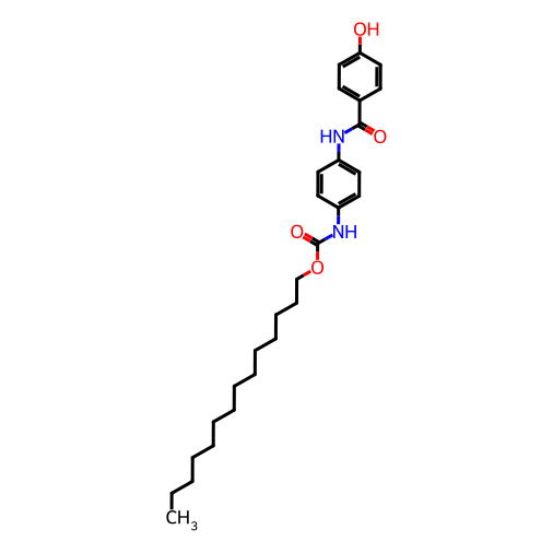 CCCCCCCCCCCCCCOC(=O)Nc1ccc(NC(=O)c2ccc(O)cc2)cc1